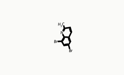 Cc1ccc2cc(Br)cc(Br)c2n1